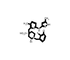 CC[C@@H]1C[C@](Cc2nc(Nc3cc(C)[nH]n3)ccc2C)(C(=O)O)CCN1Cc1cccc(Cl)c1F